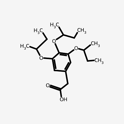 CCC(C)Oc1cc(CC(=O)O)cc(OC(C)CC)c1OC(C)CC